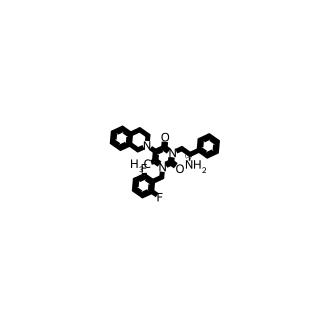 Cc1c(N2CCc3ccccc3C2)c(=O)n(C[C@@H](N)c2ccccc2)c(=O)n1Cc1c(F)cccc1F